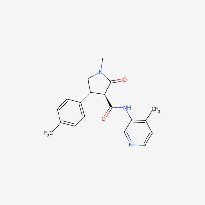 CN1C[C@@H](c2ccc(C(F)(F)F)cc2)[C@H](C(=O)Nc2cnccc2C(F)(F)F)C1=O